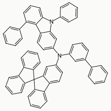 c1ccc(-c2cccc(N(c3ccc4c(c3)C3(c5ccccc5-c5ccccc53)c3ccccc3-4)c3ccc4c5c(-c6ccccc6)cccc5n(-c5ccccc5)c4c3)c2)cc1